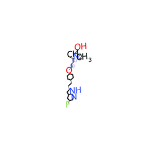 C=C/C(=C\C=C\Oc1ccc(C=Cc2cc3cc(F)cnc3[nH]2)cc1)N(C)CCO